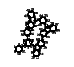 c1ccc(-c2cc(-n3c4ccccc4c4ccc(-c5ccc6c(c5)c5ccccc5n6-c5cccc(-n6c7ccccc7c7ncccc76)c5)cc43)nc(-c3ccccc3)n2)cc1